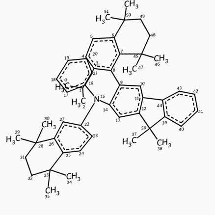 CC(C)c1ccc2c(c1-c1cc3c(cc1N(c1ccccc1)c1ccc4c(c1)C(C)(C)CCC4(C)C)C(C)(C)c1ccccc1-3)C(C)(C)CCC2(C)C